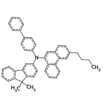 CCCCc1ccc2cc(N(c3ccc(-c4ccccc4)cc3)c3ccc4c(c3)-c3ccccc3C4(C)C)c3ccccc3c2c1